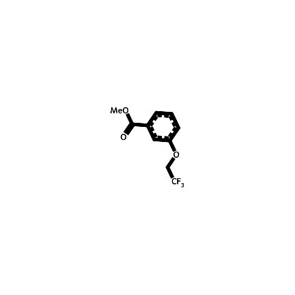 COC(=O)c1cccc(OCC(F)(F)F)c1